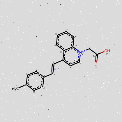 Cc1ccc(/C=C/c2cc[n+](CC(=O)O)c3ccccc23)cc1